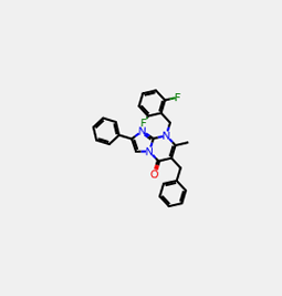 Cc1c(Cc2ccccc2)c(=O)n2cc(-c3ccccc3)nc2n1Cc1c(F)cccc1F